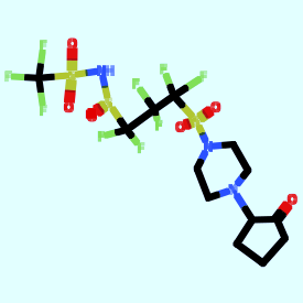 O=C1CCCC1N1CCN(S(=O)(=O)C(F)(F)C(F)(F)C(F)(F)S(=O)(=O)NS(=O)(=O)C(F)(F)F)CC1